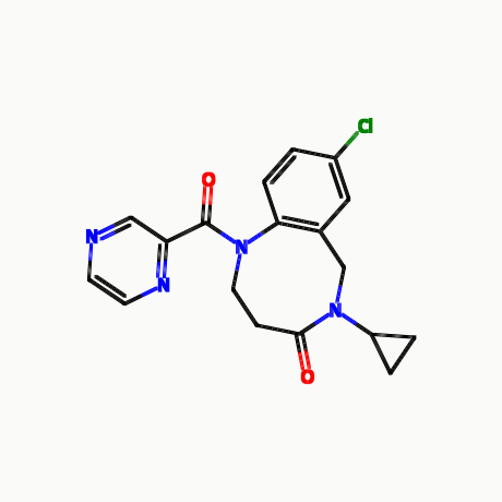 O=C(c1cnccn1)N1CCC(=O)N(C2CC2)Cc2cc(Cl)ccc21